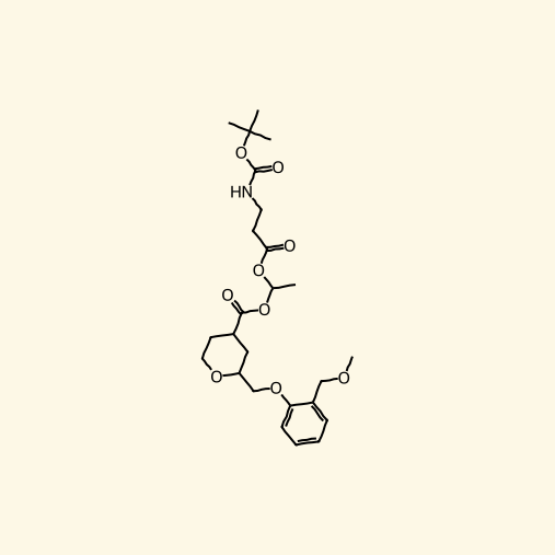 COCc1ccccc1OCC1CC(C(=O)OC(C)OC(=O)CCNC(=O)OC(C)(C)C)CCO1